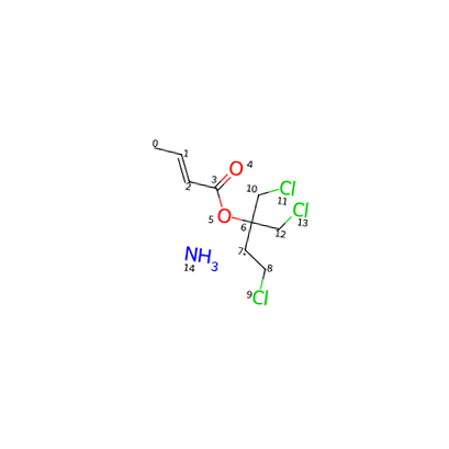 CC=CC(=O)OC([CH]CCl)(CCl)CCl.N